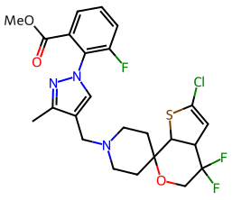 COC(=O)c1cccc(F)c1-n1cc(CN2CCC3(CC2)OCC(F)(F)C2C=C(Cl)SC23)c(C)n1